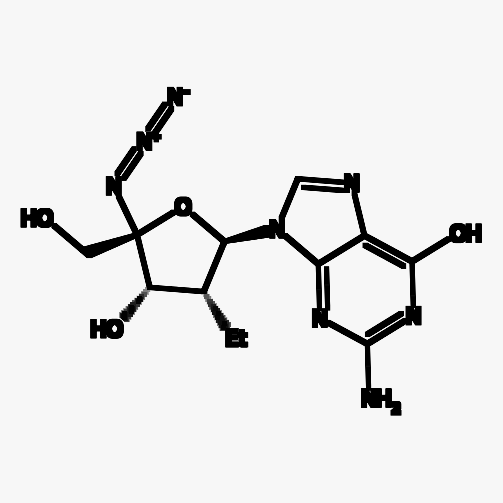 CC[C@H]1[C@H](n2cnc3c(O)nc(N)nc32)O[C@@](CO)(N=[N+]=[N-])[C@H]1O